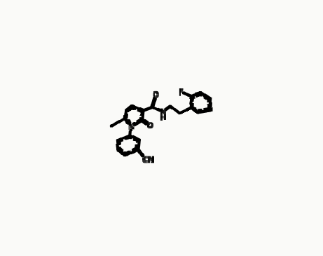 Cc1ccc(C(=O)NCCc2ccccc2F)c(=O)n1-c1cccc(C#N)c1